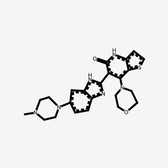 CN1CCN(c2ccc3nc(-c4c(N5CCOCC5)c5sccc5[nH]c4=O)[nH]c3c2)CC1